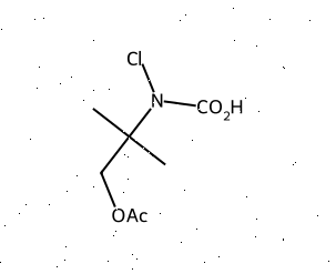 CC(=O)OCC(C)(C)N(Cl)C(=O)O